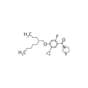 CCCCCC(CCC)COc1cc(F)c(C(=O)N2CCSC2)cc1C1CC1